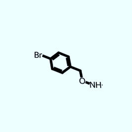 [NH]OCc1ccc(Br)cc1